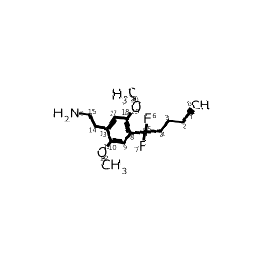 C#CCCCC(F)(F)c1cc(OC)c(CCN)cc1OC